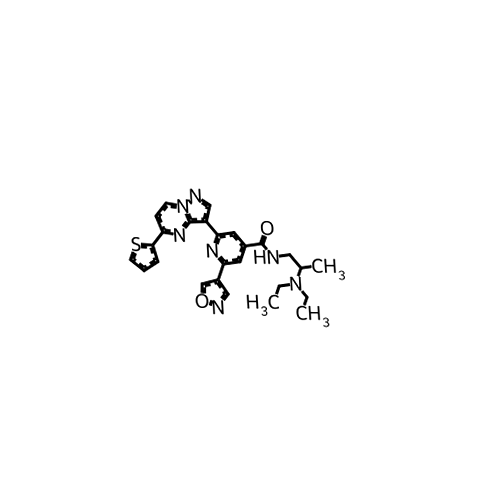 CCN(CC)C(C)CNC(=O)c1cc(-c2cnoc2)nc(-c2cnn3ccc(-c4cccs4)nc23)c1